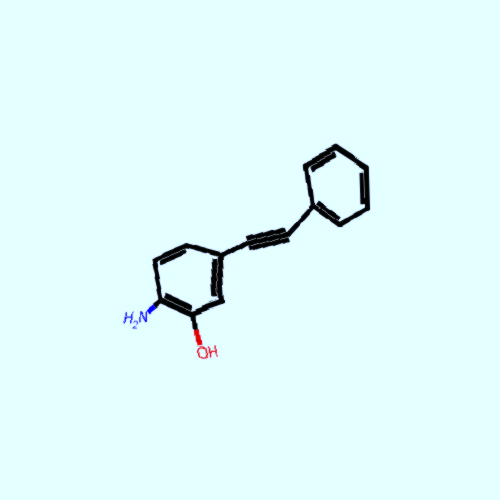 Nc1ccc(C#Cc2ccccc2)cc1O